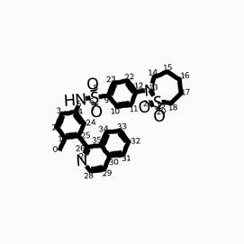 Cc1ccc(NS(=O)(=O)c2ccc(N3CCCCCS3(=O)=O)cc2)cc1-c1nccc2ccccc12